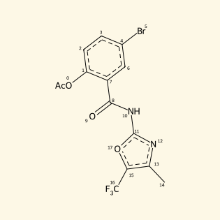 CC(=O)Oc1ccc(Br)cc1C(=O)Nc1nc(C)c(C(F)(F)F)o1